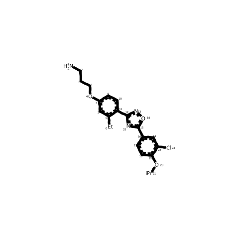 CCc1cc(OCCCN)ccc1-c1noc(-c2ccc(OC(C)C)c(Cl)c2)n1